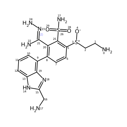 NCC[S+]([O-])c1ccc(-c2cccc3[nH]c(CN)nc23)c(/C(N)=N/N)c1S(N)(=O)=O